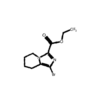 CCOC(=O)c1nc(Br)c2n1CCCC2